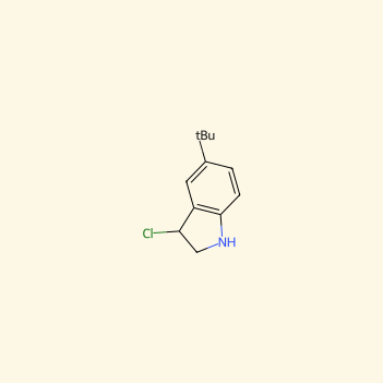 CC(C)(C)c1ccc2c(c1)C(Cl)CN2